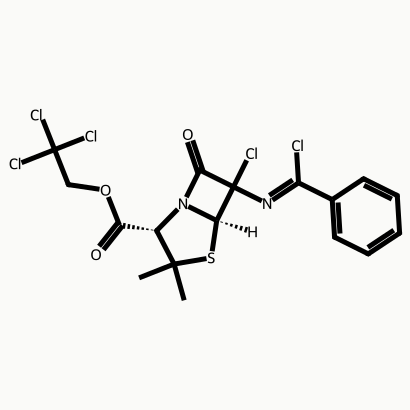 CC1(C)S[C@H]2N(C(=O)C2(Cl)/N=C(\Cl)c2ccccc2)[C@H]1C(=O)OCC(Cl)(Cl)Cl